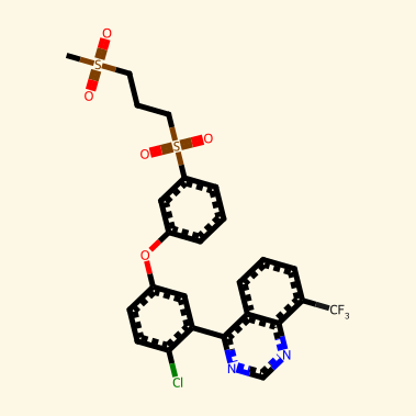 CS(=O)(=O)CCCS(=O)(=O)c1cccc(Oc2ccc(Cl)c(-c3ncnc4c(C(F)(F)F)cccc34)c2)c1